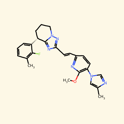 COc1nc(/C=C/c2nc3n(n2)CCC[C@H]3c2cccc(C)c2F)ccc1-n1cnc(C)c1